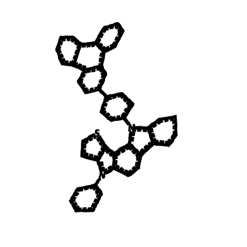 c1ccc(-n2c3ccsc3c3c2ccc2c4ccccc4n(-c4ccc(-c5ccc6c7ccccc7c7ccccc7c6c5)cc4)c23)cc1